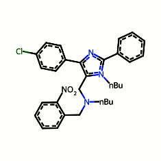 CCCCN(Cc1ccccc1[N+](=O)[O-])Cc1c(-c2ccc(Cl)cc2)nc(-c2ccccc2)n1CCCC